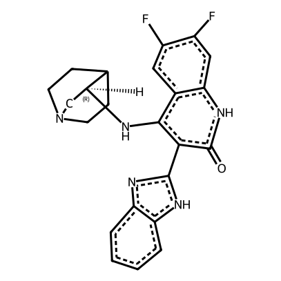 O=c1[nH]c2cc(F)c(F)cc2c(N[C@H]2CN3CCC2CC3)c1-c1nc2ccccc2[nH]1